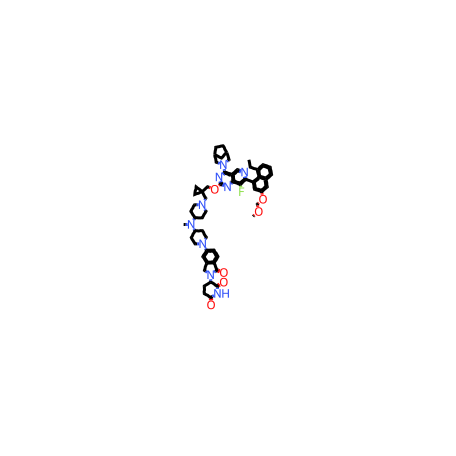 CCc1cccc2cc(OCOC)cc(-c3ncc4c(N5CC6CCC(C6)C5)nc(OCC5(CN6CCC(N(C)C7CCN(c8ccc9c(c8)CN(C8CCC(=O)NC8=O)C9=O)CC7)CC6)CC5)nc4c3F)c12